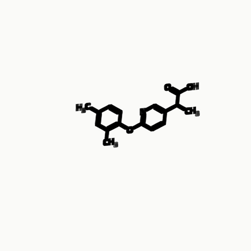 Cc1ccc(Oc2ccc(C(C)C(=O)O)cn2)c(C)c1